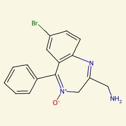 NCC1=Nc2ccc(Br)cc2C(c2ccccc2)=[N+]([O-])C1